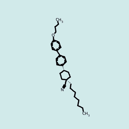 CCCCCCCC[C@]1(C#N)CC[C@H](c2ccc(-c3ccc(OCCCC)cc3)cc2)CC1